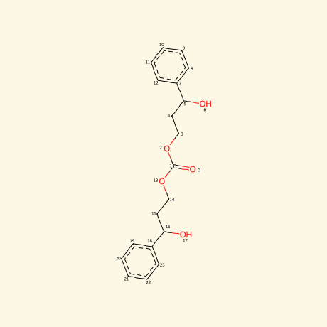 O=C(OCCC(O)c1ccccc1)OCCC(O)c1ccccc1